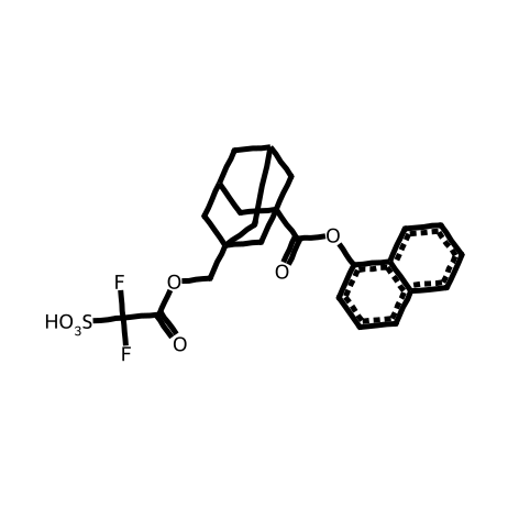 O=C(Oc1cccc2ccccc12)C12CC3CC(CC(COC(=O)C(F)(F)S(=O)(=O)O)(C3)C1)C2